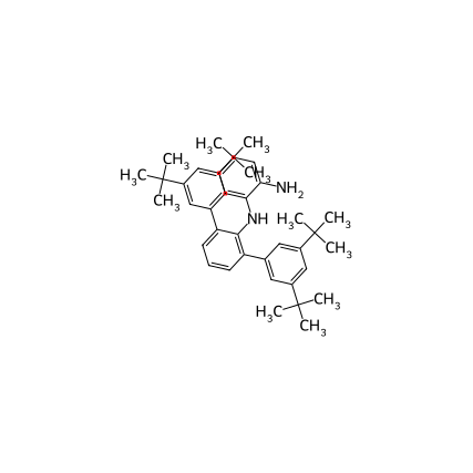 CC(C)(C)c1cc(-c2cccc(-c3cc(C(C)(C)C)cc(C(C)(C)C)c3)c2Nc2ccccc2N)cc(C(C)(C)C)c1